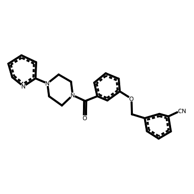 N#Cc1cccc(COc2cccc(C(=O)N3CCN(c4ccccn4)CC3)c2)c1